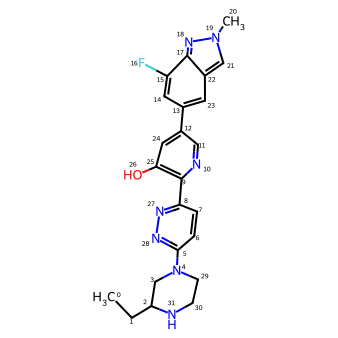 CCC1CN(c2ccc(-c3ncc(-c4cc(F)c5nn(C)cc5c4)cc3O)nn2)CCN1